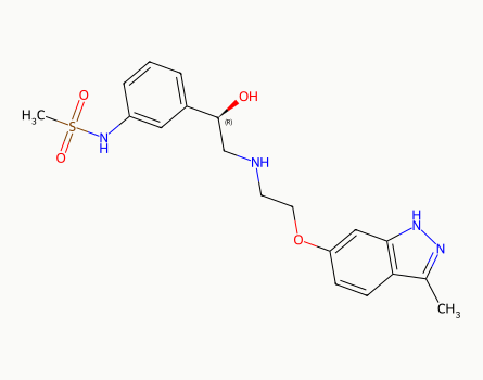 Cc1n[nH]c2cc(OCCNC[C@H](O)c3cccc(NS(C)(=O)=O)c3)ccc12